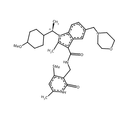 COC1CCC([C@@H](C)n2c(C)c(C(=O)NCc3c(SC)cc(C)[nH]c3=O)c3cc(CN4CCOCC4)ccc32)CC1